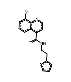 O=C(NCCc1cccs1)c1ccnc2c(S)cccc12